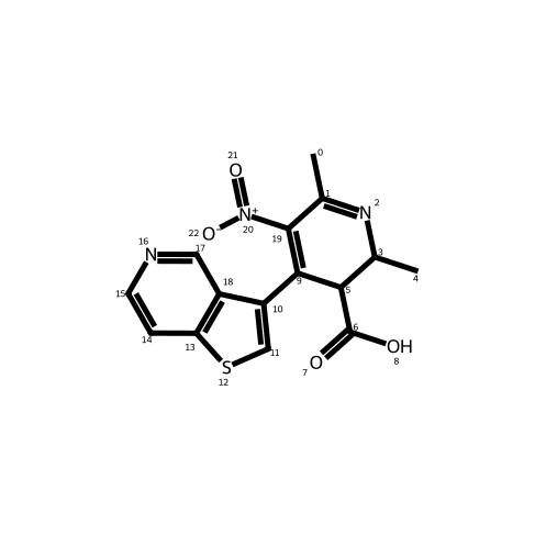 CC1=NC(C)C(C(=O)O)C(c2csc3ccncc23)=C1[N+](=O)[O-]